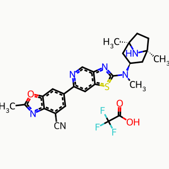 Cc1nc2c(C#N)cc(-c3cc4sc(N(C)[C@@H]5C[C@]6(C)CC[C@](C)(C5)N6)nc4cn3)cc2o1.O=C(O)C(F)(F)F